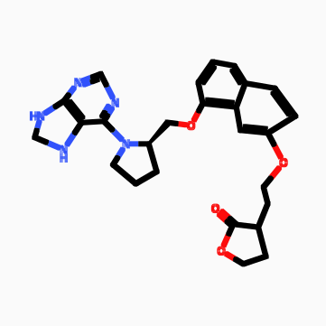 O=C1OCCC1CCOc1ccc2cccc(OC[C@H]3CCCN3c3ncnc4c3NCN4)c2c1